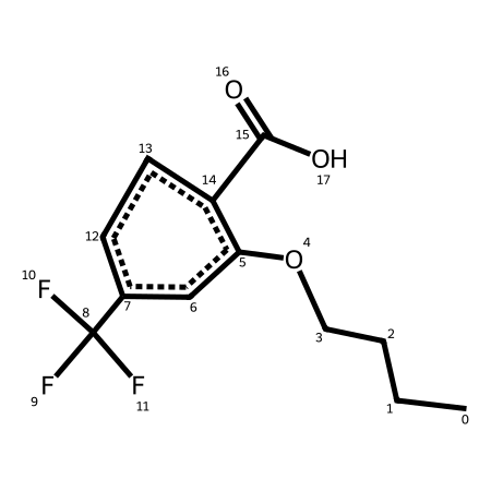 CCCCOc1cc(C(F)(F)F)ccc1C(=O)O